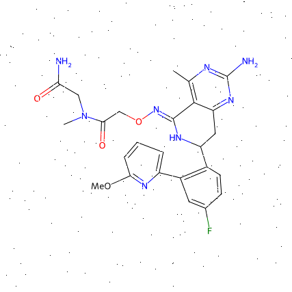 COc1cccc(-c2cc(F)ccc2C2Cc3nc(N)nc(C)c3/C(=N/OCC(=O)N(C)CC(N)=O)N2)n1